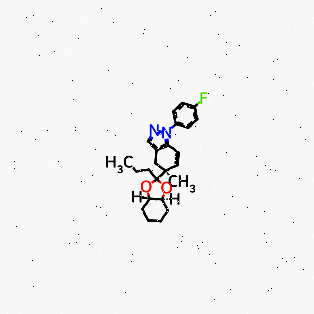 CCCC1([C@]2(C)C=Cc3c(cnn3-c3ccc(F)cc3)C2)O[C@H]2CCCC[C@@H]2O1